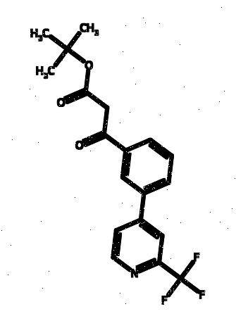 CC(C)(C)OC(=O)CC(=O)c1cccc(-c2ccnc(C(F)(F)F)c2)c1